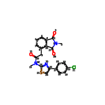 CN1C(=O)c2cccc(CC(=O)N(C)c3nc(-c4ccc(Cl)cc4)cs3)c2C1=O